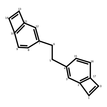 C1=Cc2cc(CCc3ccc4c(c3)C=C4)ccc21